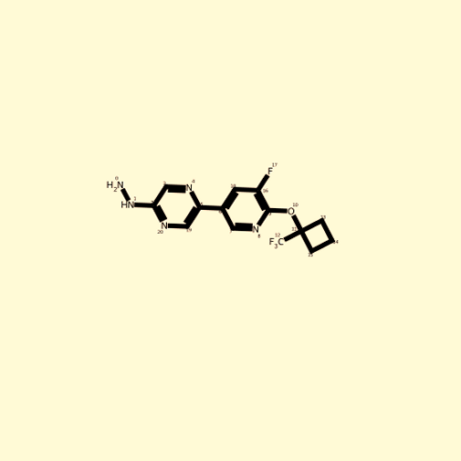 NNc1cnc(-c2cnc(OC3(C(F)(F)F)CCC3)c(F)c2)cn1